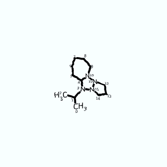 CC(C)N1C2CCCCCN2N2CCCN12